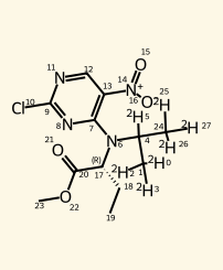 [2H]C([2H])([2H])C([2H])(N(c1nc(Cl)ncc1[N+](=O)[O-])[C@H](CC)C(=O)OC)C([2H])([2H])[2H]